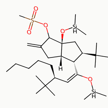 C=C1C[C@H]2[C@@H](/C(=C\[C@H](CCCCC)C(C)(C)C)O[SiH](C)C)[C@H](C(C)(C)C)C[C@@]2(O[SiH](C)C)C1OS(C)(=O)=O